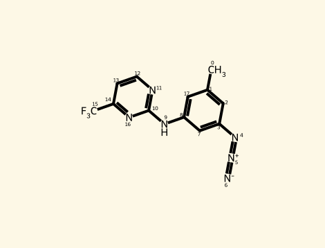 Cc1cc(N=[N+]=[N-])cc(Nc2nccc(C(F)(F)F)n2)c1